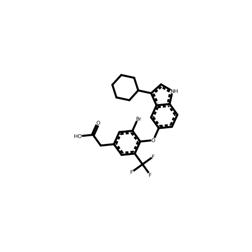 O=C(O)Cc1cc(Br)c(Oc2ccc3[nH]cc(C4CCCCC4)c3c2)c(C(F)(F)F)c1